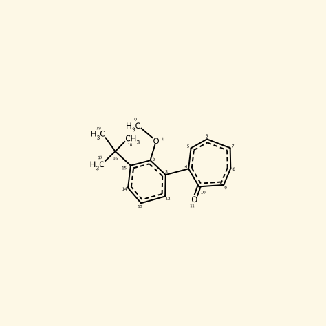 COc1c(-c2cccccc2=O)cccc1C(C)(C)C